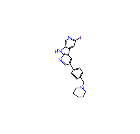 Ic1cc2c(cn1)[nH]c1ncc(-c3ccc(CN4CCCCC4)cc3)cc12